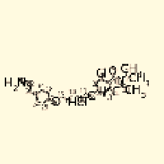 CC(C)N(C(=O)c1ccc(OCCCCCOc2ccc(C=NN)cc2)cc1Cl)C(C)C.Cl